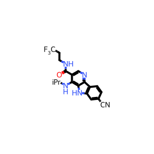 CC(C)Nc1c(C(=O)NCCC(F)(F)F)cnc2c1[nH]c1cc(C#N)ccc12